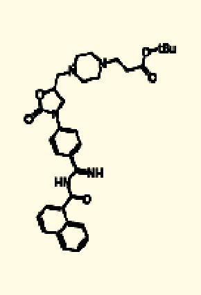 CC(C)(C)OC(=O)CCN1CCN(CC2CN(c3ccc(C(=N)NC(=O)c4cccc5ccccc45)cc3)C(=O)O2)CC1